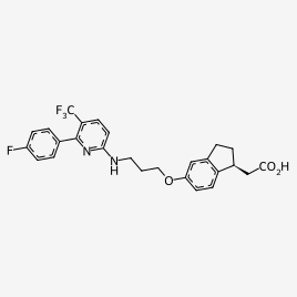 O=C(O)C[C@@H]1CCc2cc(OCCCNc3ccc(C(F)(F)F)c(-c4ccc(F)cc4)n3)ccc21